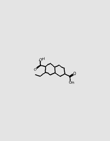 CCC1CC2CC(C(=O)O)CCC2CC1C(=O)O